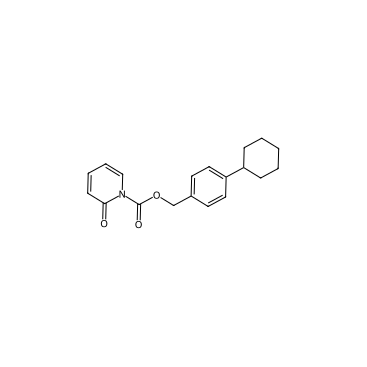 O=C(OCc1ccc(C2CCCCC2)cc1)n1ccccc1=O